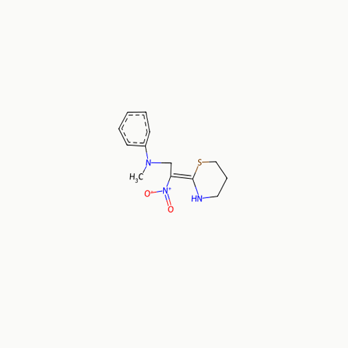 CN(CC(=C1NCCCS1)[N+](=O)[O-])c1ccccc1